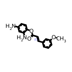 COc1cccc(/C=C/C(=O)Oc2ccc(N)cc2N)c1